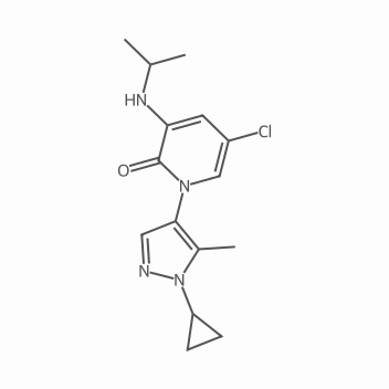 Cc1c(-n2cc(Cl)cc(NC(C)C)c2=O)cnn1C1CC1